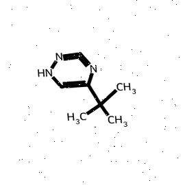 CC(C)(C)C1=CNN=C=N1